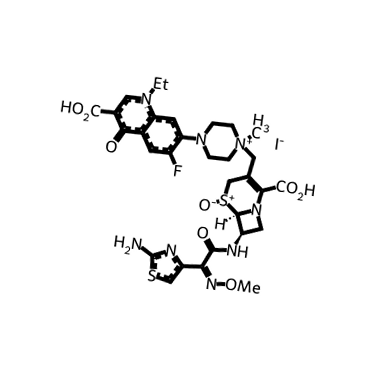 CCn1cc(C(=O)O)c(=O)c2cc(F)c(N3CC[N+](C)(CC4=C(C(=O)O)N5C[C@@H](NC(=O)/C(=N\OC)c6csc(N)n6)[C@H]5[S+]([O-])C4)CC3)cc21.[I-]